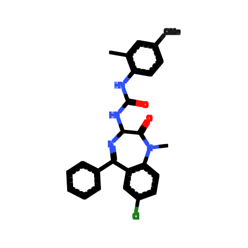 COc1ccc(NC(=O)NC2N=C(c3ccccc3)c3cc(Cl)ccc3N(C)C2=O)c(C)c1